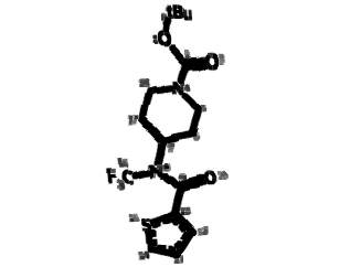 CC(C)(C)OC(=O)N1CCC(N(C(=O)c2cccs2)C(F)(F)F)CC1